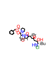 CC[C@H](C)[C@@H](NCl)[C@@H](O)CC(=O)C[C@H](C(=O)[C@@H](C)C(=O)N[C@@H](CC(C)C)C(=O)N1CCC[C@H]1C(=O)OCc1ccccc1)C(C)C